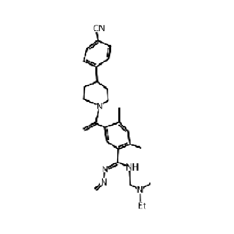 C=N/N=C(\NCN(C)CC)c1cc(C(=C)N2CCC(c3ccc(C#N)cc3)CC2)c(C)cc1C